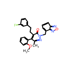 COc1ccccc1-c1c(C)nn(Cc2cccc3nonc23)c(=O)c1CCc1cccc(F)c1